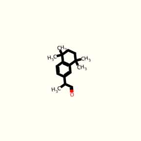 CC(C=O)c1ccc2c(c1)C(C)(C)CCC2(C)C